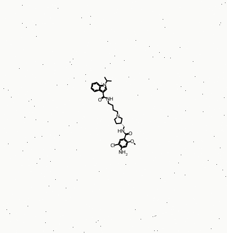 COc1cc(N)c(Cl)cc1C(=O)NC[C@@H]1CCN(CCCCNC(=O)c2cn(C(C)C)c3ccccc23)C1